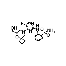 NS(=O)(=O)c1ccccc1Nc1ncc(F)c(N2C[C@H](CO)OC3(CCC3)C2)n1